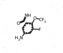 N=C=O.Nc1ccc(OC(F)(F)F)c(F)c1